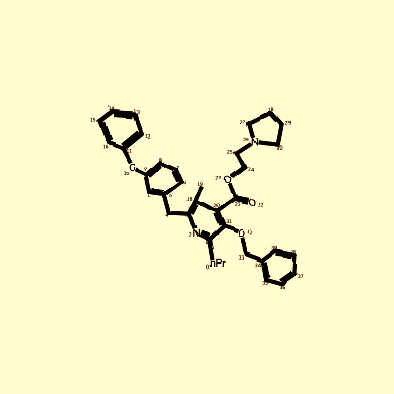 CCCc1nc(Cc2cccc(Oc3ccccc3)c2)c(C)c(C(=O)OCCN2CCCC2)c1OCc1ccccc1